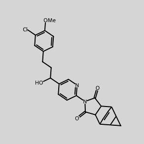 COc1ccc(CCC(O)c2ccc(N3C(=O)C4C5C=CC(C6CC56)C4C3=O)nc2)cc1Cl